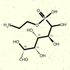 NCCOP(=O)(O)C(O)[C@@H](O)[C@@H](O)[C@H](O)[C@@H](O)C=O